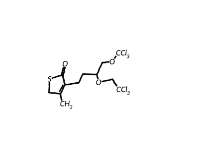 CC1=C(CCC(COC(Cl)(Cl)Cl)OCC(Cl)(Cl)Cl)C(=O)SC1